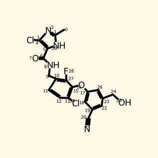 Cc1nc(Cl)c(C(=O)NCc2ccc(Cl)c(Oc3cc(C#N)cc(CO)c3)c2F)[nH]1